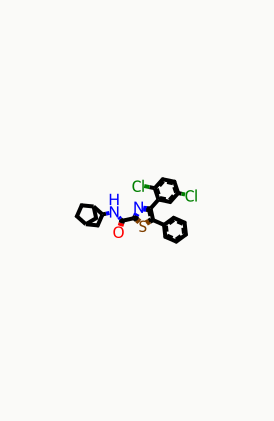 O=C(NC1CC2CCC1C2)c1nc(-c2cc(Cl)ccc2Cl)c(-c2ccccc2)s1